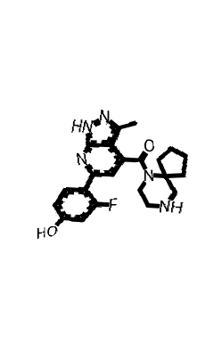 Cc1n[nH]c2nc(-c3ccc(O)cc3F)cc(C(=O)N3CCNCC34CCCC4)c12